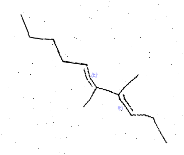 CC/C=C(C)/C(C)=C/CCCC